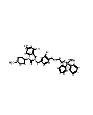 CN1CCC(NC(=O)N(Cc2ccc(COCCO[Si](c3ccccc3)(c3ccccc3)C(C)(C)C)c(F)c2)Cc2ccc(F)cc2F)CC1